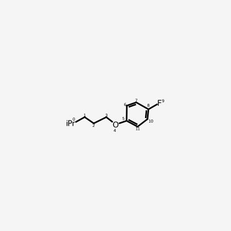 CC(C)CCCOc1ccc(F)cc1